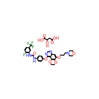 O=C(Nc1ccc(Oc2ncnc3cc(OCCCN4CCOCC4)c4c(c23)OCCO4)cc1)Nc1cc(C(F)(F)F)ccc1F.O=C(O)CC(O)C(=O)O